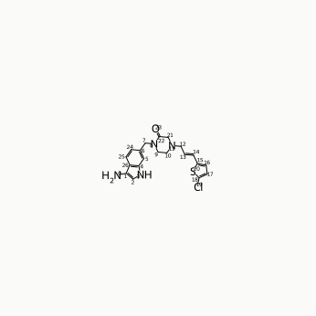 Nc1c[nH]c2cc(CN3CCN(CC=Cc4ccc(Cl)s4)CC3=O)ccc12